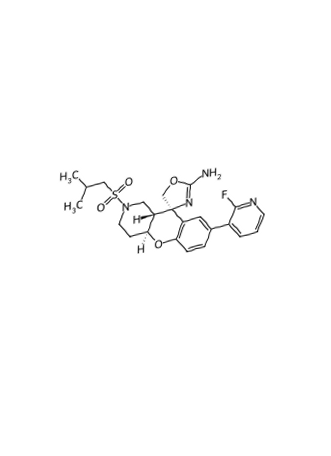 CC(C)CS(=O)(=O)N1CC[C@@H]2Oc3ccc(-c4cccnc4F)cc3[C@@]3(COC(N)=N3)[C@H]2C1